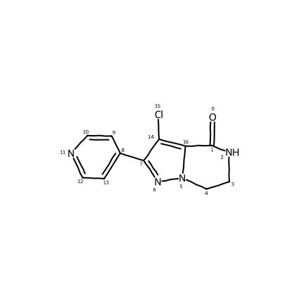 O=C1NCCn2nc(-c3ccncc3)c(Cl)c21